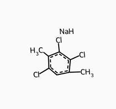 Cc1cc(Cl)c(C)c(Cl)c1Cl.[NaH]